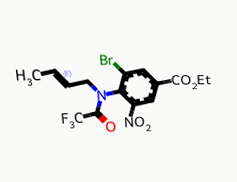 C/C=C/CN(C(=O)C(F)(F)F)c1c(Br)cc(C(=O)OCC)cc1[N+](=O)[O-]